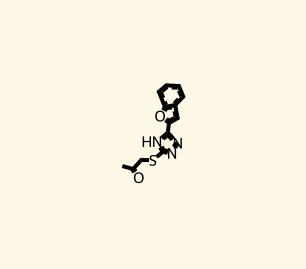 CC(=O)CSc1nnc(-c2cc3ccccc3o2)[nH]1